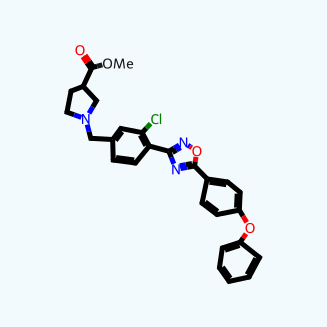 COC(=O)C1CCN(Cc2ccc(-c3noc(-c4ccc(Oc5ccccc5)cc4)n3)c(Cl)c2)C1